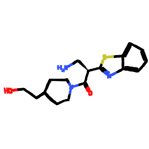 NC[C@@H](C(=O)N1CCC(CCO)CC1)c1nc2ccccc2s1